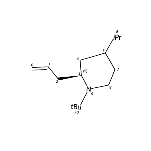 C=CC[C@H]1CC(C(C)C)CCN1C(C)(C)C